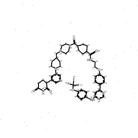 O=C1CCC(c2cncc(N3CCC(CN4CCN(C(=O)C5CCC(C(=O)NCCOc6ccc(-c7cc(Nc8ccc(OC(F)(F)F)cc8)ncn7)cc6)CC5)CC4)CC3)c2)C(=O)N1